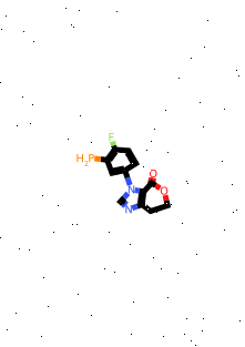 O=C1OCCc2ncn(-c3ccc(F)c(P)c3)c21